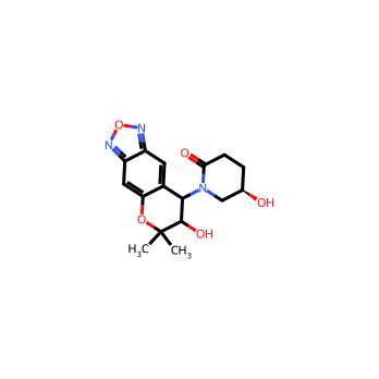 CC1(C)Oc2cc3nonc3cc2C(N2C[C@H](O)CCC2=O)C1O